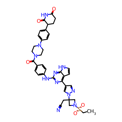 CCS(=O)(=O)N1CC(CC#N)(n2cc(-c3nc(Nc4ccc(C(=O)N5CCN(c6ccc(C7CCC(=O)NC7=O)cc6)CC5)cc4)nc4[nH]ccc34)cn2)C1